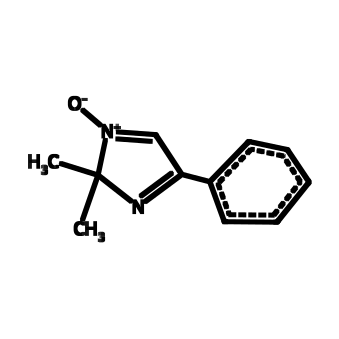 CC1(C)N=C(c2ccccc2)C=[N+]1[O-]